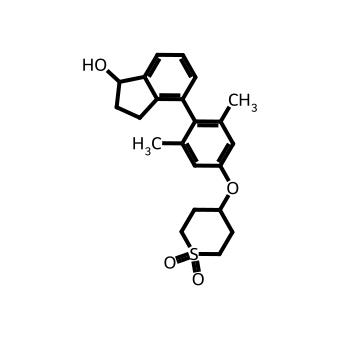 Cc1cc(OC2CCS(=O)(=O)CC2)cc(C)c1-c1cccc2c1CCC2O